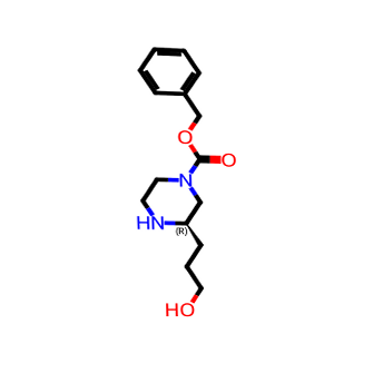 O=C(OCc1ccccc1)N1CCN[C@H](CCCO)C1